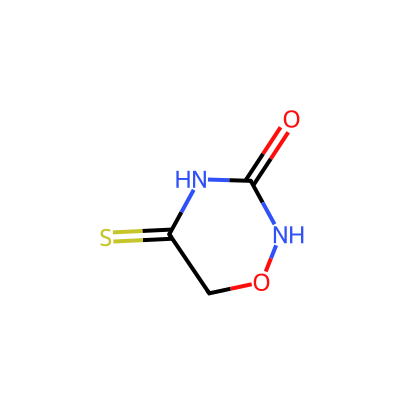 O=C1NOCC(=S)N1